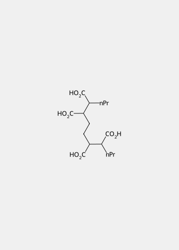 CCCC(C(=O)O)C(CCC(C(=O)O)C(CCC)C(=O)O)C(=O)O